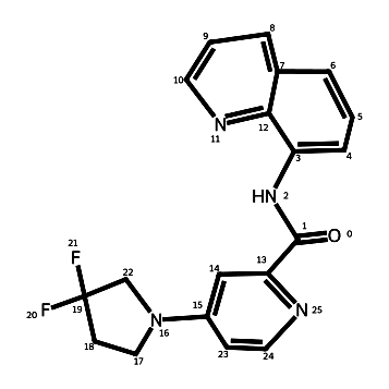 O=C(Nc1cccc2cccnc12)c1cc(N2CCC(F)(F)C2)ccn1